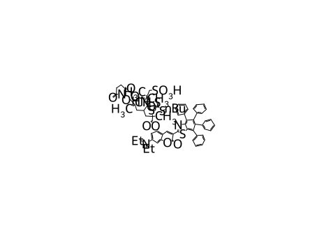 CCCCSC(=S)SC(C)(CC(CC(C)(C)C(=O)ON1C(=O)CCC1=O)C(=O)NC(C)(C)CS(=O)(=O)O)C(=O)Oc1cc(N(CC)CC)cc2oc(=O)c(-c3nc4c(-c5ccccc5)c(-c5ccccc5)c(-c5ccccc5)c(-c5ccccc5)c4s3)cc12